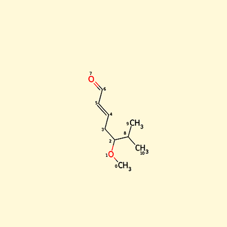 COC(CC=CC=O)C(C)C